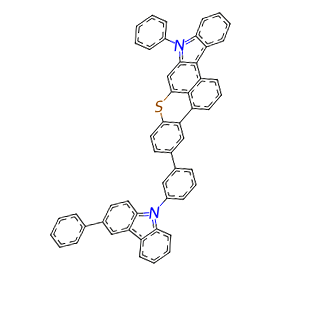 c1ccc(-c2ccc3c(c2)c2ccccc2n3-c2cccc(-c3ccc4c(c3)-c3cccc5c3c(cc3c5c5ccccc5n3-c3ccccc3)S4)c2)cc1